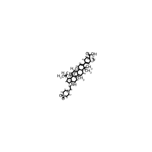 C=C(C)[C@@H]1CC[C@]2(NCCN3CCS(=O)(=O)CC3)CC[C@]3(C)[C@H](CCC4[C@@]5(C)CC=C(C6=CC[C@](CF)(C(=O)O)CC6)C(C)(C)C5CC[C@]43C)C12